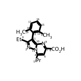 CCc1nn2c(C(C)C)cc(C(=O)O)nc2c1-c1c(C)cccc1C